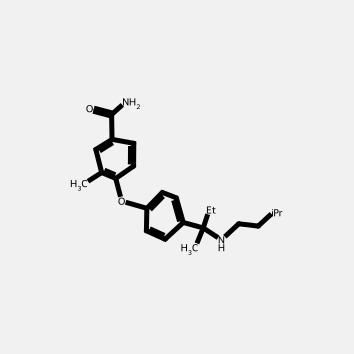 CCC(C)(NCCC(C)C)c1ccc(Oc2ccc(C(N)=O)cc2C)cc1